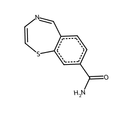 NC(=O)c1ccc2c(c1)SC=CN=C2